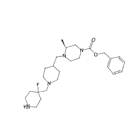 C[C@H]1CN(C(=O)OCc2ccccc2)CCN1CC1CCN(CC2(F)CCNCC2)CC1